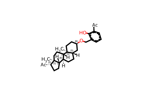 CC(=O)c1cccc(CO[C@@H]2CC[C@@]3(C)[C@@H](CC[C@@H]4[C@@H]3CC[C@]3(C)[C@@H](C(C)=O)CC[C@@H]43)C2)c1O